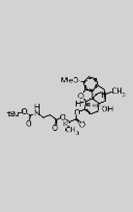 COc1ccc2c3c1O[C@H]1C(OC(=O)[C@H](C)OC(=O)CCNC(=O)OC(C)(C)C)=CC[C@]4(O)C(C2)N(C)CC[C@]314